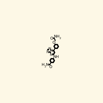 NC(=O)COc1cccc(-c2cc(Nc3ccc(C(N)=O)cc3)nc3ncnn23)c1